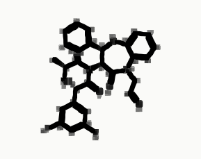 C[C@H](N)C(=O)N(C(=O)Cc1cc(F)cc(F)c1)[C@@H]1C(=O)N(CC=O)c2ccccc2O[C@@H]1c1ccccc1